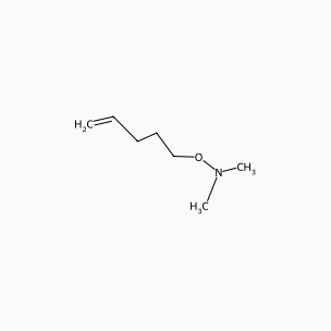 C=CCCCON(C)C